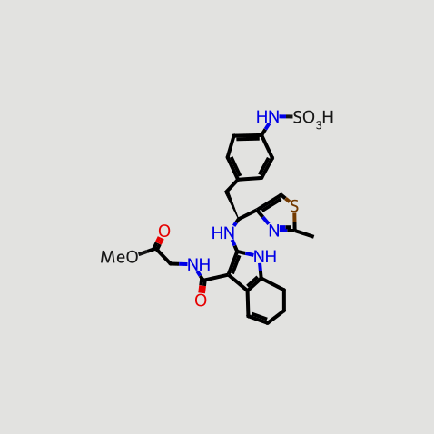 COC(=O)CNC(=O)c1c(N[C@@H](Cc2ccc(NS(=O)(=O)O)cc2)c2csc(C)n2)[nH]c2c1C=CCC2